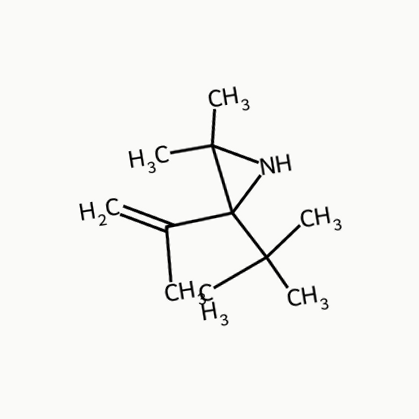 C=C(C)C1(C(C)(C)C)NC1(C)C